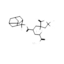 CCC(CC(CC1(C)CC(C)(C)OC1=O)C(=O)OC1(CC)C2CC3CC(C2)CC1C3)C(=O)OC